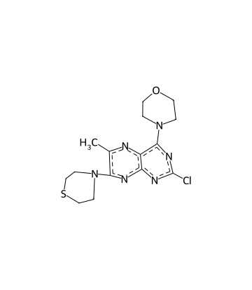 Cc1nc2c(N3CCOCC3)nc(Cl)nc2nc1N1CCSCC1